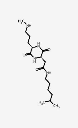 CNCCC[C@H]1NC(=O)[C@@H](CC(=O)NCCCCC(C)C)NC1=O